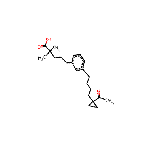 CC(=O)C1(CCCCc2cccc(CCCC(C)(C)C(=O)O)c2)CC1